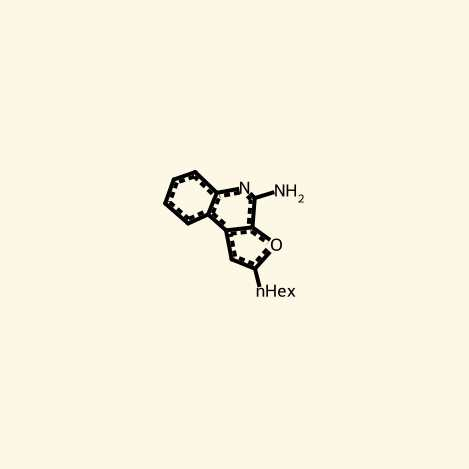 CCCCCCc1cc2c(o1)c(N)nc1ccccc12